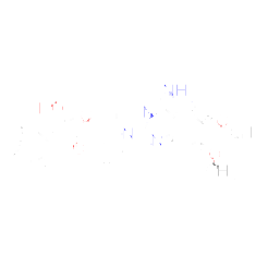 COc1cc2nc(N3CCC(OC(C(=O)O)c4ccccc4)CC3)nc(N)c2cc1OC